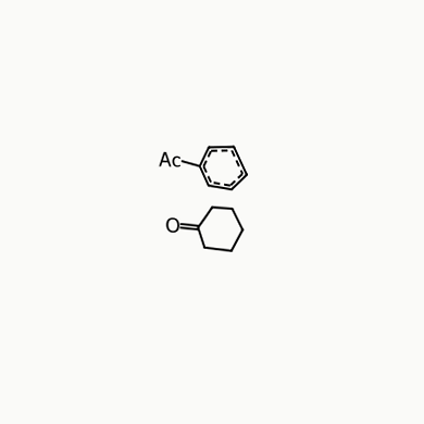 CC(=O)c1ccccc1.O=C1CCCCC1